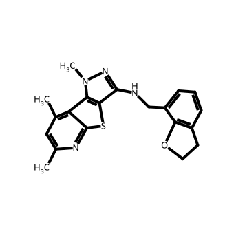 Cc1cc(C)c2c(n1)sc1c(NCc3cccc4c3OCC4)nn(C)c12